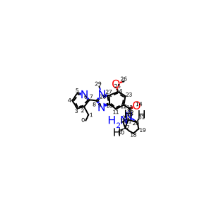 CCc1cccnc1-c1nc2cc(C(=O)N3C[C@H]4CC[C@@H]3[C@@H]4N)cc(OC)c2n1C